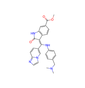 COC(=O)c1ccc2c(c1)NC(=O)C2=C(Nc1ccc(CN(C)C)cc1)c1ccc2nccn2c1